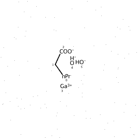 CCCCC(=O)[O-].[Ga+3].[OH-].[OH-]